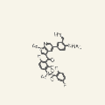 CC(=O)Nc1ccc(-c2cnc3c(c2)c(C(=O)c2c(F)ccc(N(C(C)=O)S(=O)(=O)c4cc(F)ccc4F)c2F)cn3C(C)=O)cc1C=N